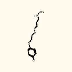 ONCCC=NOCCOc1ccc(Cl)cc1